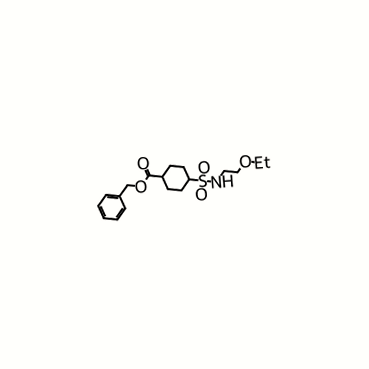 CCOCCNS(=O)(=O)C1CCC(C(=O)OCc2ccccc2)CC1